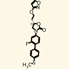 CSc1ccc(-c2ccc(N3C[C@H](CCOc4ccon4)OC3=O)cc2F)cc1